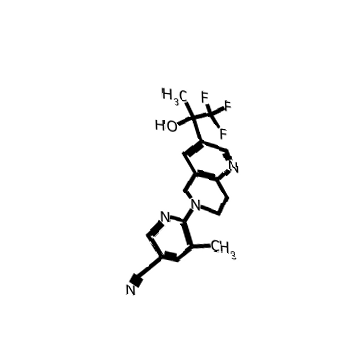 Cc1cc(C#N)cnc1N1CCc2ncc(C(C)(O)C(F)(F)F)cc2C1